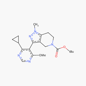 COc1ncnc(C2CC2)c1-c1nn(C)c2c1CN(C(=O)OC(C)(C)C)CC2